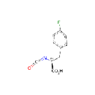 O=C=N[C@@H](Cc1ccc(F)cc1)C(=O)O